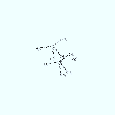 CCCCCCC[CH2][Al-]([CH2]CCCCCCC)([CH2]CCCCCCC)[CH2]CCCCCCC.CCCCCCC[CH2][Al-]([CH2]CCCCCCC)([CH2]CCCCCCC)[CH2]CCCCCCC.[Mg+2]